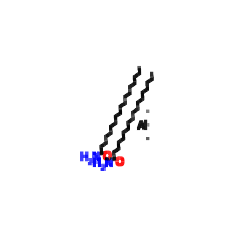 CCCCCCCCCCCCCCCCCC(N)=O.CCCCCCCCCCCCCCCCCC(N)=O.[Al]